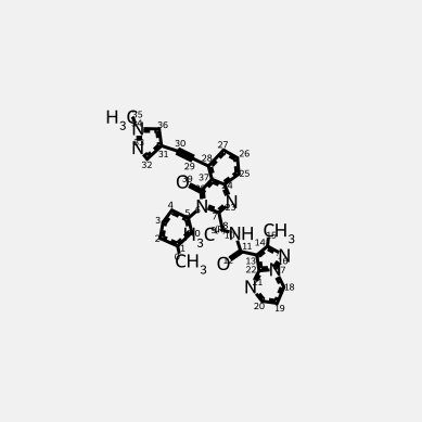 Cc1cccc(-n2c([C@@H](C)NC(=O)c3c(C)nn4cccnc34)nc3cccc(C#Cc4cnn(C)c4)c3c2=O)c1